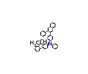 CC1(C)c2ccccc2-c2ccc(N(c3ccccc3)c3ccc(-c4cc5ccccc5cc4-c4ccccc4)cc3)cc21